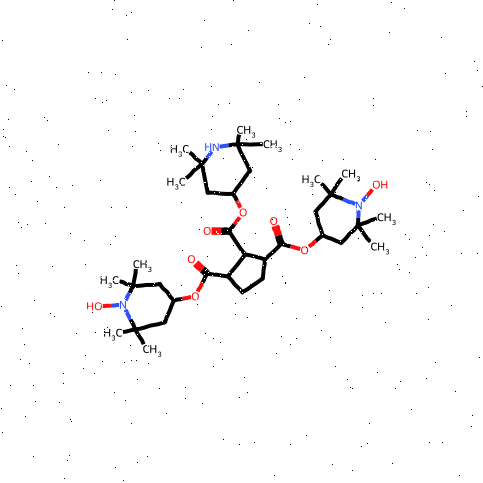 CC1(C)CC(OC(=O)C2C(C(=O)OC3CC(C)(C)N(O)C(C)(C)C3)CCC2C(=O)OC2CC(C)(C)N(O)C(C)(C)C2)CC(C)(C)N1